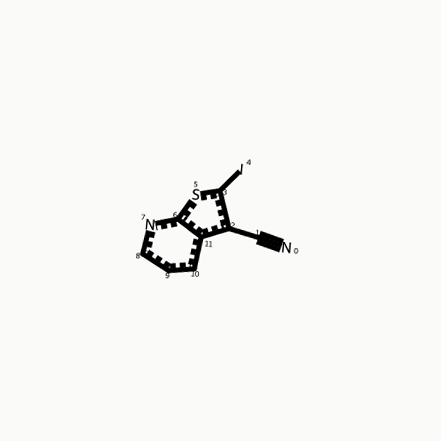 N#Cc1c(I)sc2ncccc12